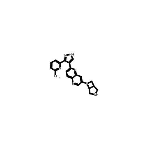 Cc1cccc(-c2n[nH]cc2-c2ccc3ncc(N4CC5CNCC54)cc3n2)n1